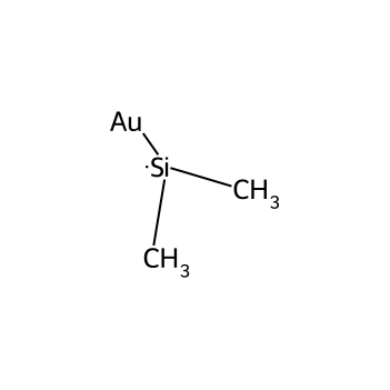 C[Si](C)[Au]